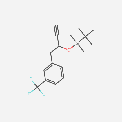 C#CC(Cc1cccc(C(F)(F)F)c1)O[Si](C)(C)C(C)(C)C